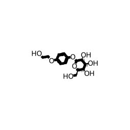 OCCOc1ccc(OC2O[C@H](CO)[C@@H](O)[C@H](O)[C@H]2O)cc1